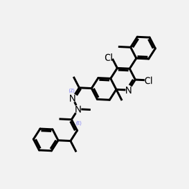 C/C(=N/N(C)/C(C)=C/C(C)c1ccccc1)C1=CCC2(C)N=C(Cl)C(c3ccccc3C)=C(Cl)C2=C1